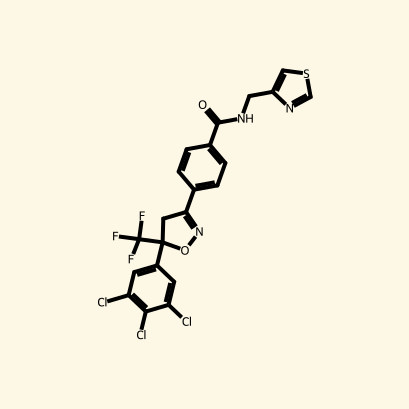 O=C(NCc1cscn1)c1ccc(C2=NOC(c3cc(Cl)c(Cl)c(Cl)c3)(C(F)(F)F)C2)cc1